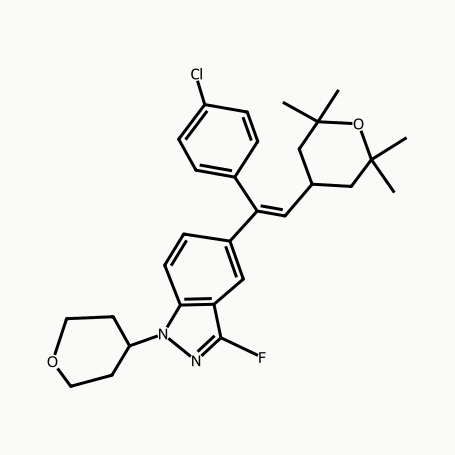 CC1(C)CC(C=C(c2ccc(Cl)cc2)c2ccc3c(c2)c(F)nn3C2CCOCC2)CC(C)(C)O1